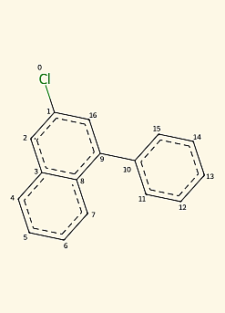 Clc1[c]c2ccccc2c(-c2ccccc2)c1